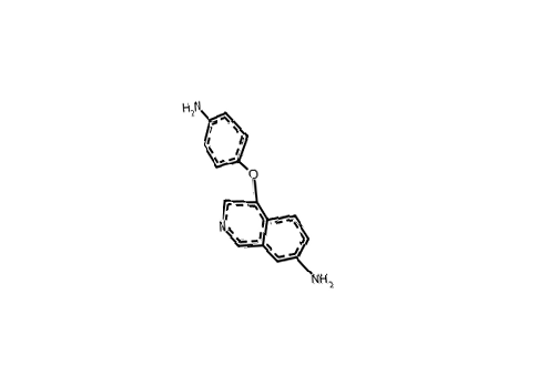 Nc1ccc(Oc2cncc3cc(N)ccc23)cc1